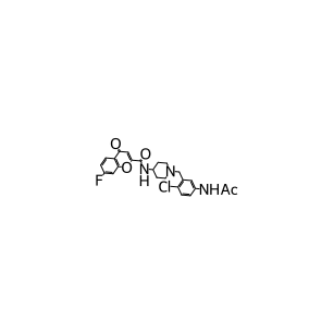 CC(=O)Nc1ccc(Cl)c(CN2CCC(NC(=O)c3cc(=O)c4ccc(F)cc4o3)CC2)c1